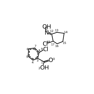 O=C(O)c1ccccc1Cl.ON=C1CCCCC1Cl